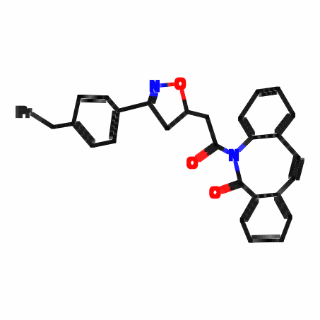 CC(C)Cc1ccc(C2=NOC(CC(=O)N3C(=O)c4ccccc4C#Cc4ccccc43)C2)cc1